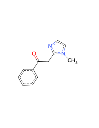 Cn1ccnc1CC(=O)c1ccccc1